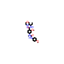 CCC(NC(=O)c1ccc(N(C)C(=O)Nc2ccc(OC)cc2)cc1OC)C1COCCN1